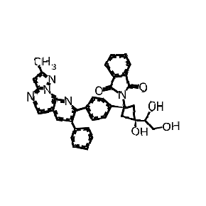 Cc1cc2ncc3cc(-c4ccccc4)c(-c4ccc([C@]5(N6C(=O)c7ccccc7C6=O)C[C@@](O)(C(O)CO)C5)cc4)nc3n2n1